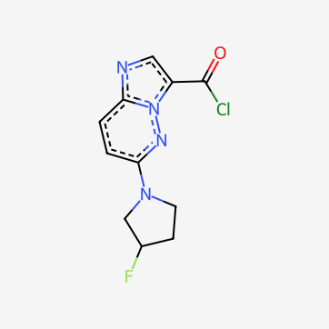 O=C(Cl)c1cnc2ccc(N3CCC(F)C3)nn12